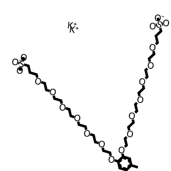 Cc1ccc(OCCOCCOCCOCCOCCOCCOCCCS(=O)(=O)[O-])c(OCCOCCOCCOCCOCCOCCOCCCS(=O)(=O)[O-])c1.[K+].[K+]